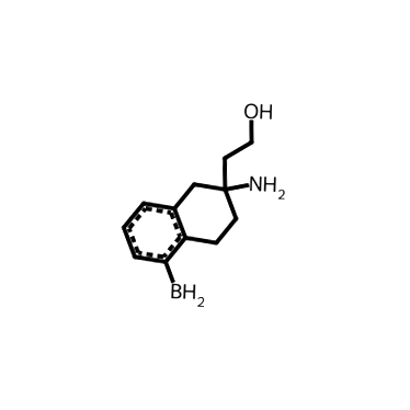 Bc1cccc2c1CCC(N)(CCO)C2